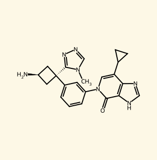 Cn1cnnc1[C@]1(c2cccc(-n3cc(C4CC4)c4nc[nH]c4c3=O)c2)C[C@@H](N)C1